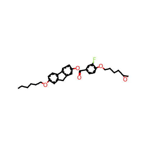 CCCCCCOc1ccc2c(c1)Cc1cc(OC(=O)c3ccc(OCCCCC4CO4)c(F)c3)ccc1-2